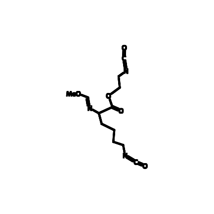 COC=NC(CCCCN=C=O)C(=O)OCCN=C=O